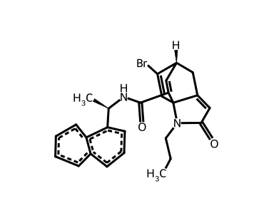 CCCN1C(=O)C=C2C[C@@H]3C=C(C(=O)N[C@H](C)c4cccc5ccccc45)C21C=C3Br